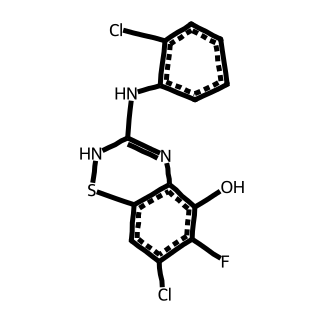 Oc1c(F)c(Cl)cc2c1N=C(Nc1ccccc1Cl)NS2